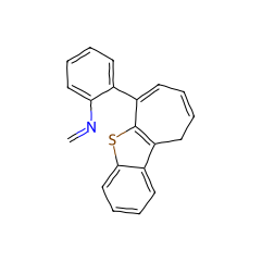 C=Nc1ccccc1C1=CC=CCc2c1sc1ccccc21